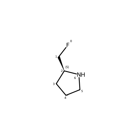 FC[C@@H]1C[CH]CN1